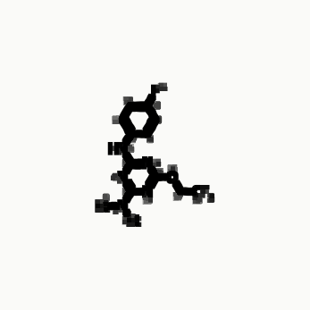 CCN(CC)c1nc(Nc2ccc(F)cc2)nc(OCC(F)(F)F)n1